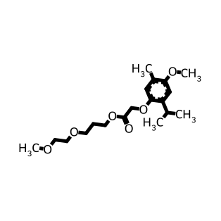 COCCOCCCOC(=O)COc1cc(C)c(OC)cc1C(C)C